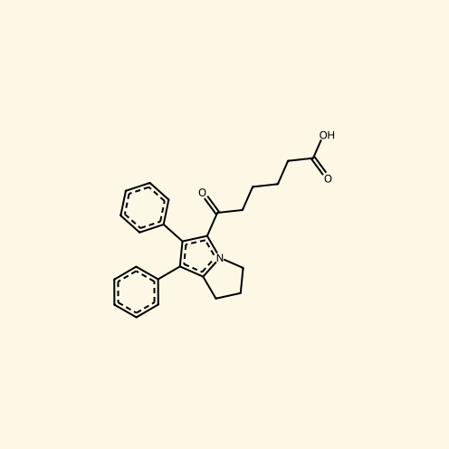 O=C(O)CCCCC(=O)c1c(-c2ccccc2)c(-c2ccccc2)c2n1CCC2